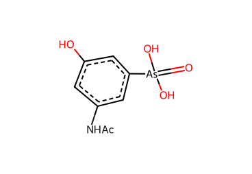 CC(=O)Nc1cc(O)cc([As](=O)(O)O)c1